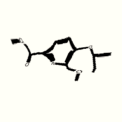 COC(=O)c1ccc(OC(C)C)c(OC)n1